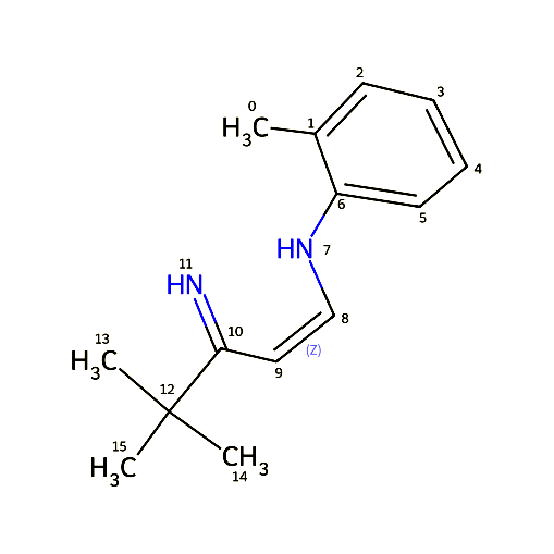 Cc1ccccc1N/C=C\C(=N)C(C)(C)C